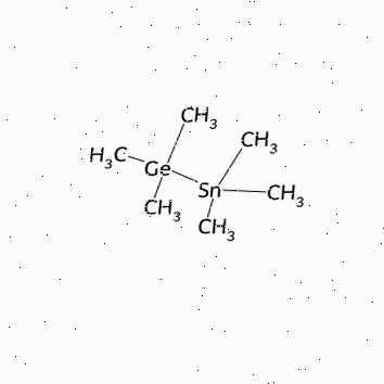 [CH3][Ge]([CH3])([CH3])[Sn]([CH3])([CH3])[CH3]